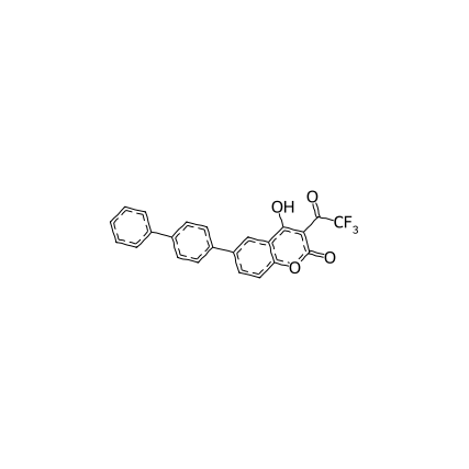 O=C(c1c(O)c2cc(-c3ccc(-c4ccccc4)cc3)ccc2oc1=O)C(F)(F)F